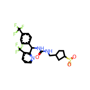 O=C(NCC1CCC([SH](=O)=O)C1)NC(c1ccc(C(F)(F)F)cc1)c1ncccc1C(F)(F)F